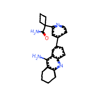 NC(=O)C1(c2cc(-c3ccc4nc5c(c(N)c4c3)CCCC5)ccn2)CCC1